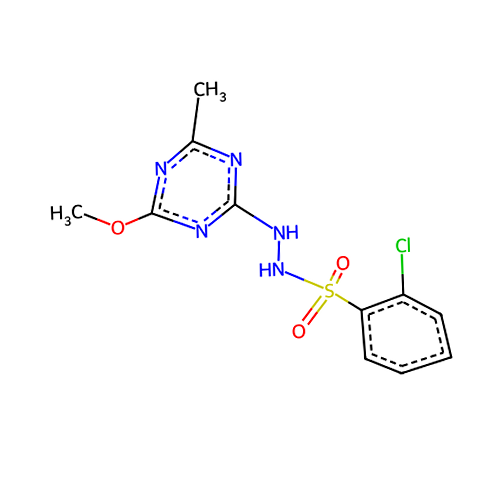 COc1nc(C)nc(NNS(=O)(=O)c2ccccc2Cl)n1